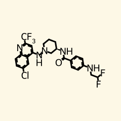 O=C(N[C@@H]1CCCN(Nc2cc(C(F)(F)F)nc3ccc(Cl)cc23)C1)c1ccc(NCC(F)F)cc1